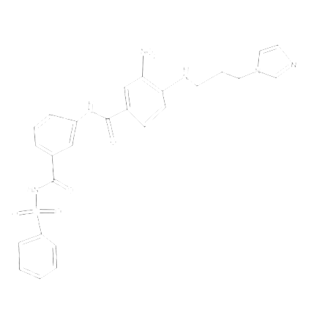 O=C(Nc1cccc(C(=O)NS(=O)(=O)c2ccccc2)c1)c1ccc(NCCCn2ccnc2)c([N+](=O)[O-])c1